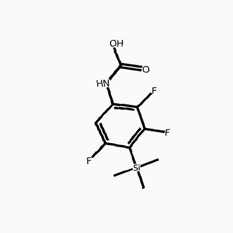 C[Si](C)(C)c1c(F)cc(NC(=O)O)c(F)c1F